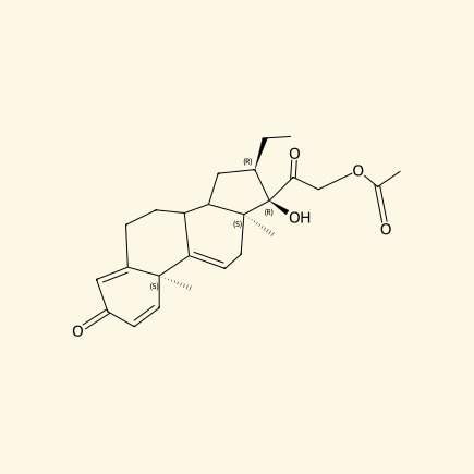 CC[C@@H]1CC2C3CCC4=CC(=O)C=C[C@]4(C)C3=CC[C@]2(C)[C@@]1(O)C(=O)COC(C)=O